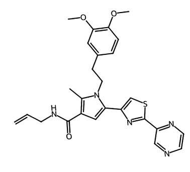 C=CCNC(=O)c1cc(-c2csc(-c3cnccn3)n2)n(CCc2ccc(OC)c(OC)c2)c1C